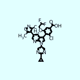 Cc1noc(C)c1-c1cnc2c(c1)c(-c1c(Cl)cc(C(=O)O)cc1OCC(F)F)cn2-c1cnc(C2CC2)nc1